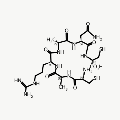 C[C@H](NC(=O)[C@H](CCCNC(=N)N)NC(=O)[C@H](C)NC(=O)[C@@H](N)CS)C(=O)N[C@@H](CC(N)=O)C(=O)N[C@@H](CS)C(=O)O